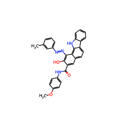 COc1ccc(NC(=O)c2cc3ccc4c5ccccc5[nH]c4c3c(N=Nc3cccc(C)c3)c2O)cc1